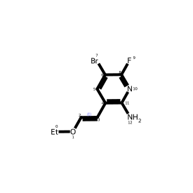 CCO/C=C/c1cc(Br)c(F)nc1N